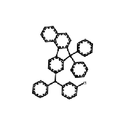 Clc1cccc(C(c2ccccc2)c2ccc3c(c2)C(c2ccccc2)(c2ccccc2)c2ccc4ccccc4c2-3)c1